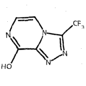 Oc1nccn2c(C(F)(F)F)nnc12